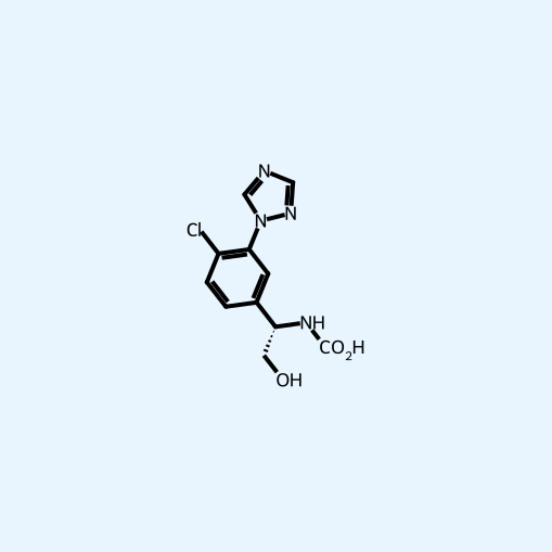 O=C(O)N[C@H](CO)c1ccc(Cl)c(-n2cncn2)c1